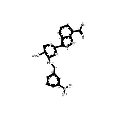 COc1cnc(-c2n[nH]c3c(C(N)=O)cccc23)nc1NCc1cccc(B(O)O)c1